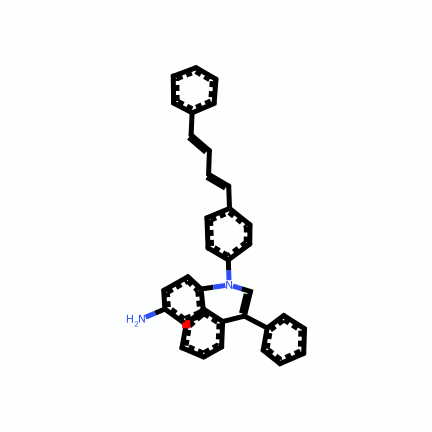 Nc1ccc(N(C=C(c2ccccc2)c2ccccc2)c2ccc(/C=C/C=C/c3ccccc3)cc2)cc1